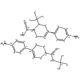 CC(C)(C)C1CC(c2ccc(N)cc2)=CCN1C(=O)O.CC(C)(C)OC(=O)N1CC=C(c2ccc(N)cc2)CC1